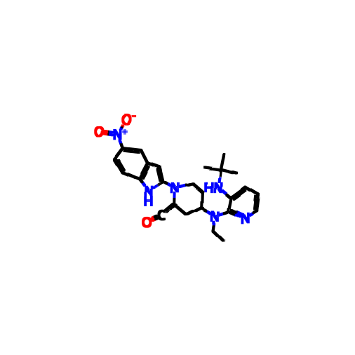 CCN(c1ncccc1NC(C)(C)C)C1CCN(c2cc3cc([N+](=O)[O-])ccc3[nH]2)C(=C=O)C1